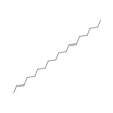 [CH2]C=CCCCCCCCCC=CCCCCC